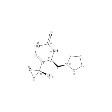 C[C@@]1(C(=O)[C@H](C[C@H]2CCCO2)NC(=O)O)CO1